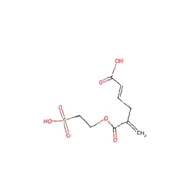 C=C(CC=CC(=O)O)C(=O)OCCS(=O)(=O)O